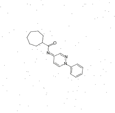 O=C(N=c1ccn(-c2ccccc2)nc1)C1CCCCCC1